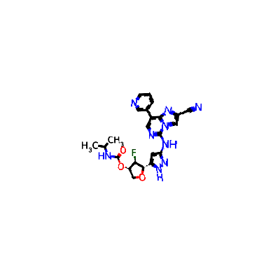 CC(C)NC(=O)O[C@H]1CO[C@@H](c2cc(Nc3ncc(-c4cccnc4)c4nc(C#N)cn34)n[nH]2)[C@@H]1F